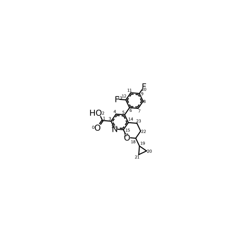 O=C(O)c1cc(-c2ccc(F)cc2F)c2c(n1)OC(C1CC1)CC2